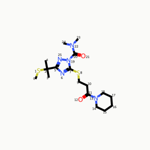 CSC(C)(C)c1nc(SCCC(=O)N2CCCCC2)n(C(=O)N(C)C)n1